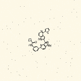 O=C(Nc1cccc(-c2ccc3[nH]nc(-c4cc5c(-c6cccs6)nccc5[nH]4)c3n2)c1)C1CCC1